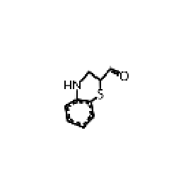 O=[C]C1CNc2ccccc2S1